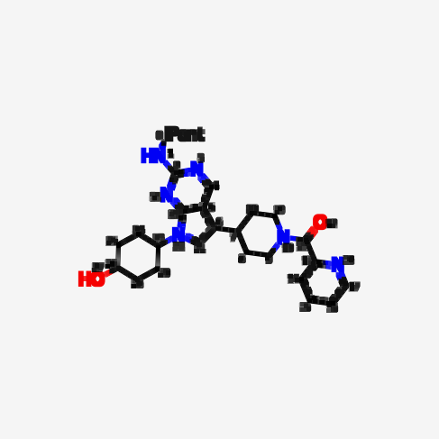 CCC[C@H](C)Nc1ncc2c(C3CCN(C(=O)c4ccccn4)CC3)cn(C3CCC(O)CC3)c2n1